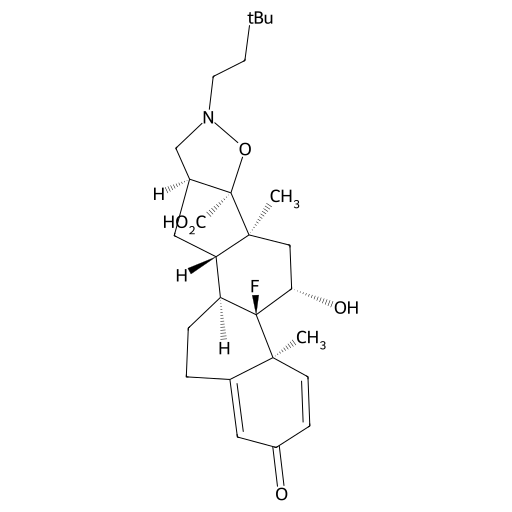 CC(C)(C)CCN1C[C@@H]2C[C@H]3[C@@H]4CCC5=CC(=O)C=C[C@]5(C)[C@@]4(F)[C@@H](O)C[C@]3(C)[C@]2(C(=O)O)O1